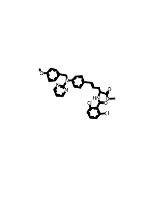 COC(=O)C(C/C=C/c1ccc(N(Cc2ccc(OC)cc2)c2ncccn2)cc1)NC(=O)c1c(Cl)cccc1Cl